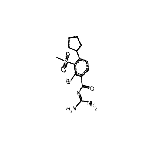 CS(=O)(=O)c1c(C2CCCC2)ccc(C(=O)N=C(N)N)c1Br